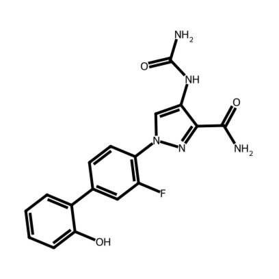 NC(=O)Nc1cn(-c2ccc(-c3ccccc3O)cc2F)nc1C(N)=O